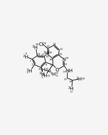 [2H]c1c([2H])c([2H])c(C2(C([2H])([2H])[2H])OC(NCC([2H])[2H])=Nc3ccc(Cl)cc32)c([2H])c1[2H]